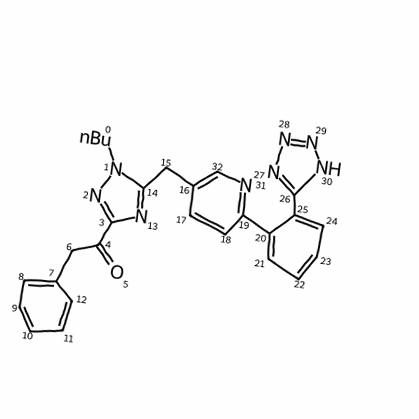 CCCCn1nc(C(=O)Cc2ccccc2)nc1Cc1ccc(-c2ccccc2-c2nnn[nH]2)nc1